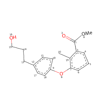 COC(=O)c1cccc(Oc2ccc(CCCO)cc2)c1C